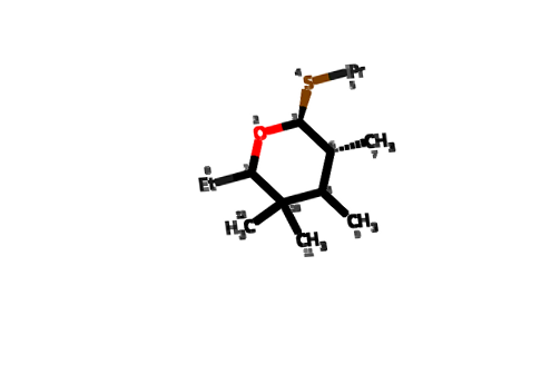 CCC1O[C@@H](SC(C)C)[C@H](C)C(C)C1(C)C